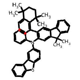 CC1(C)CCC(C)(C)c2c(-c3cc4c(cc3N(c3ccccc3)c3ccc5sc6ccccc6c5c3)C(C)(C)c3ccccc3-4)cccc21